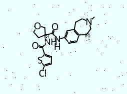 C[C@H]1CN(C)CCc2cc(NC(=O)[C@]3(NC(=O)c4ccc(Cl)s4)CCOC3)ccc21